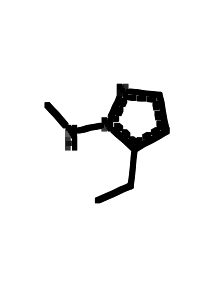 CCc1ccnn1NC